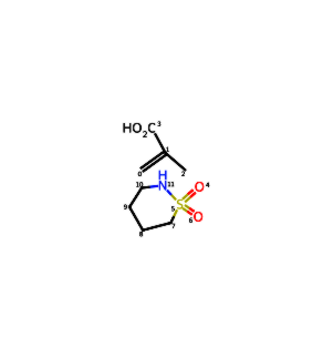 C=C(C)C(=O)O.O=S1(=O)CCCCN1